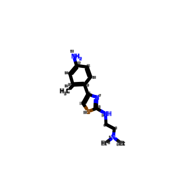 CCN(CC)CCNc1nc(-c2ccc(N)cc2C)cs1